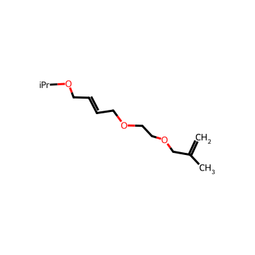 C=C(C)COCCOC/C=C/COC(C)C